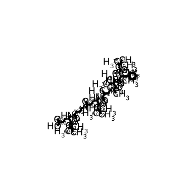 C/C(=C\CN(C)C(=O)C(NC(=O)[C@@H](N(C)C(=O)OC(C)(C)C)C(C)(C)c1ccccc1)C(C)(C)C)C(=O)N[C@H](CCC(=O)NCCCC(=O)N[C@H](CCC(=O)O)C(=O)OC(C)(C)C)C(=O)OC(C)(C)C